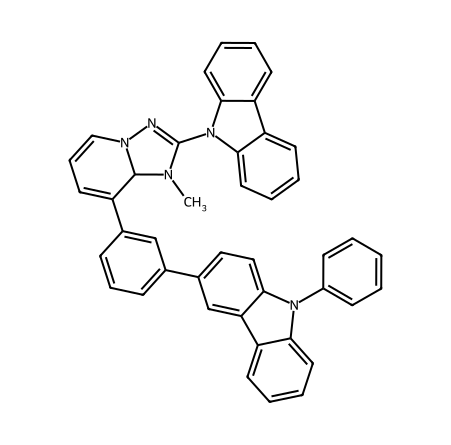 CN1C(n2c3ccccc3c3ccccc32)=NN2C=CC=C(c3cccc(-c4ccc5c(c4)c4ccccc4n5-c4ccccc4)c3)C21